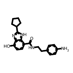 Nc1ccc(CCNC(=O)c2ccc(O)c3nc(C4CCCC4)[nH]c23)cc1